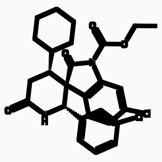 CCOC(=O)N1C(=O)[C@]2(c3ccc(Cl)cc31)[C@@H](C1CCCCC1)CC(=O)N[C@H]2c1cccc(Cl)c1